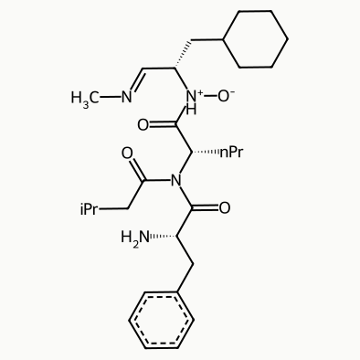 CCC[C@@H](C(=O)[NH+]([O-])[C@H](C=NC)CC1CCCCC1)N(C(=O)CC(C)C)C(=O)[C@@H](N)Cc1ccccc1